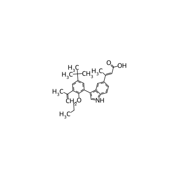 C=C(C)c1cc(C(C)(C)C)cc(-c2c[nH]c3ccc(/C(C)=C/C(=O)O)cc23)c1OCCC